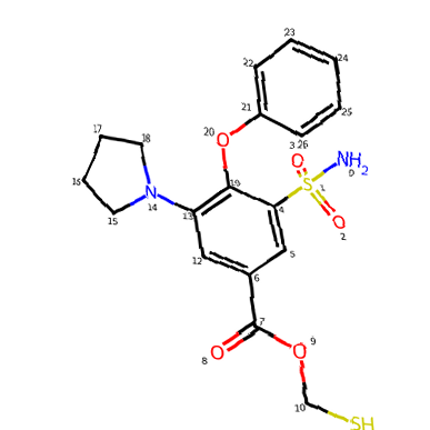 NS(=O)(=O)c1cc(C(=O)OCS)cc(N2CCCC2)c1Oc1ccccc1